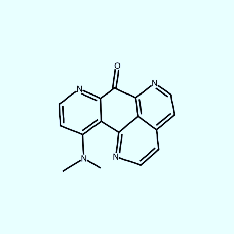 CN(C)c1ccnc2c1-c1nccc3ccnc(c13)C2=O